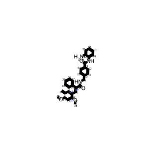 C=C/C=C(/C=C(/C(=O)NCc1ccc(C(=O)Nc2ccccc2N)cc1)c1ccccc1)C(=C/COC)\OC